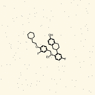 CCN(Cc1ccc(OCCN2CCCCC2)c(F)c1)c1ccc(F)cc1C1CCc2cc(O)ccc2C1